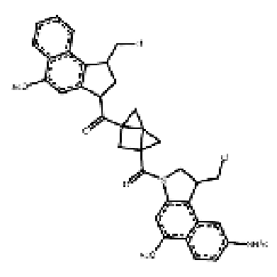 CC(=O)Nc1ccc2c(OC(C)=O)cc3c(c2c1)C(CCl)CN3C(=O)C12CC3(C(=O)C4CC(CCl)c5c4cc(OC(C)=O)c4ccccc54)CC31C2